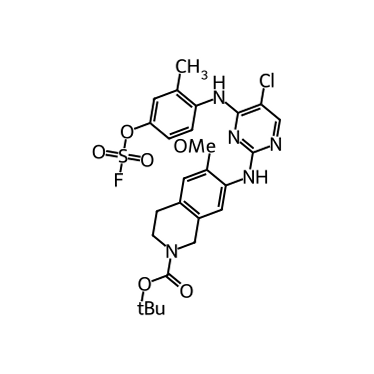 COc1cc2c(cc1Nc1ncc(Cl)c(Nc3ccc(OS(=O)(=O)F)cc3C)n1)CN(C(=O)OC(C)(C)C)CC2